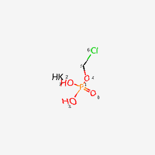 O=P(O)(O)OCCl.[KH]